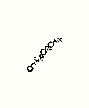 CC(C)(C)OC(=O)N1CCC(O)(CN2CCC3(CC2)CC(NC(=O)OCc2ccccc2)C3)CC1